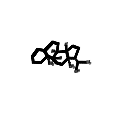 CC(O)[C@H]1CC[C@H]2[C@@H]3CC=C4C=CCC[C@]4(C)[C@H]3CC[C@]12C